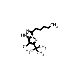 CCCCCc1n[nH]c2c(Cl)c(C(C)(C)C)nn12